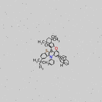 CC(C)(C)c1ccc2sc3c(c2c1)N(c1ccccc1)c1cc([C@]24CC5C6CC7C[C@@H]5C(C2)[C@@H](C7)C6C4)cc2c1B3c1cc3c(cc1O2)C(C)(C)CCC3(C)C